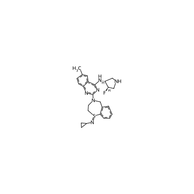 Cc1ccc2nc(N3CCS(=NC4CC4)c4ccccc4C3)nc(N[C@@H]3CNC[C@H]3F)c2c1